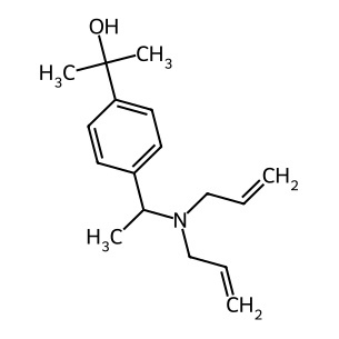 C=CCN(CC=C)C(C)c1ccc(C(C)(C)O)cc1